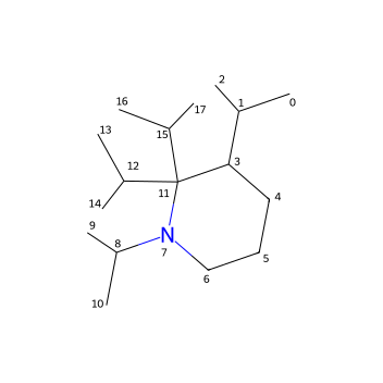 CC(C)C1CCCN(C(C)C)C1(C(C)C)C(C)C